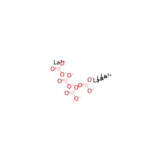 [La+3].[La+3].[La+3].[La+3].[O-]B([O-])[O-].[O-]B([O-])[O-].[O-]B([O-])[O-].[O-]B([O-])[O-]